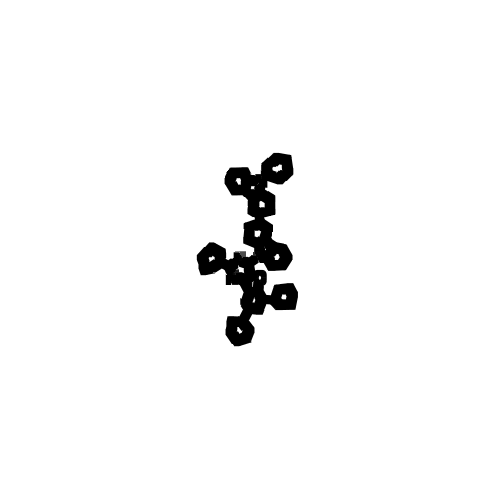 c1ccc(-c2cc(-c3ccccc3)c3oc4c(-n5c6ccccc6c6cc(-c7ccc8c(c7)c7ccccc7n8-c7ccccc7)ccc65)nc(-c5ccccc5)nc4c3c2)cc1